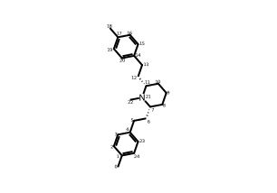 Cc1ccc(CC[C@H]2CCC[C@@H](CCc3ccc(C)cc3)N2C)cc1